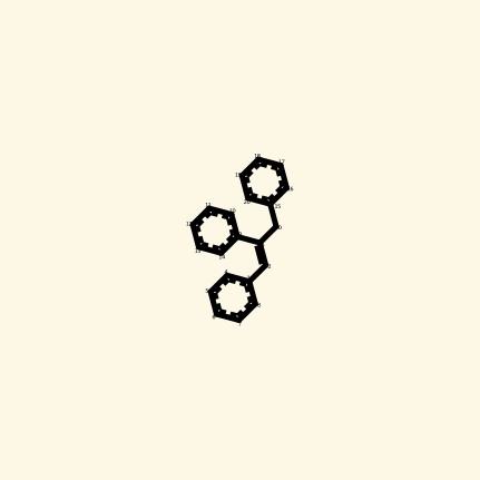 [CH](/C(=C/c1ccccc1)c1ccccc1)c1ccccc1